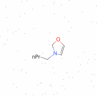 CCCCN1C=COC1